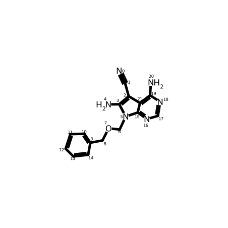 N#Cc1c(N)n(COCc2ccccc2)c2ncnc(N)c12